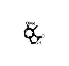 COc1ccc2c(c1F)C(=O)NC2